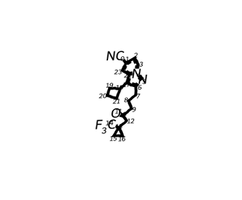 N#Cc1ccn2nc(CCCC(=O)CC3(C(F)(F)F)CC3)c(C3CCC3)c2c1